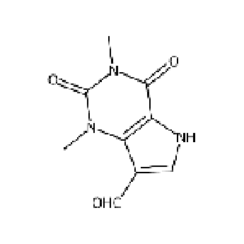 Cn1c(=O)c2[nH]cc(C=O)c2n(C)c1=O